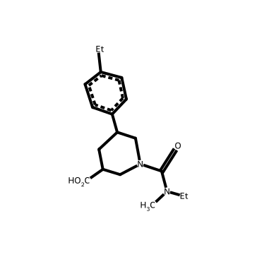 CCc1ccc(C2CC(C(=O)O)CN(C(=O)N(C)CC)C2)cc1